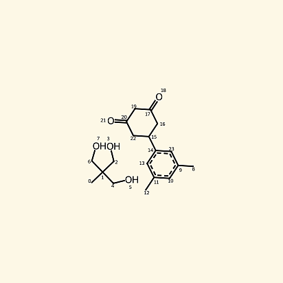 CC(CO)(CO)CO.Cc1cc(C)cc(C2CC(=O)CC(=O)C2)c1